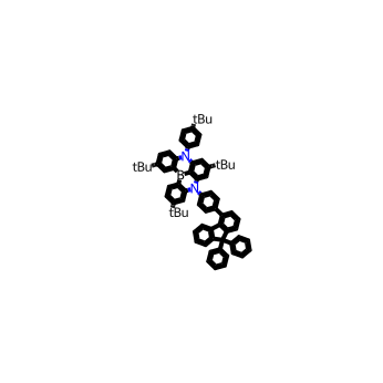 CC(C)(C)c1ccc(N2c3ccc(C(C)(C)C)cc3B3c4ccc(C(C)(C)C)cc4N(c4ccc(-c5cccc6c5-c5ccccc5C6(c5ccccc5)c5ccccc5)cc4)c4cc(C(C)(C)C)cc2c43)cc1